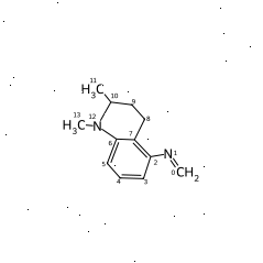 C=Nc1cccc2c1CCC(C)N2C